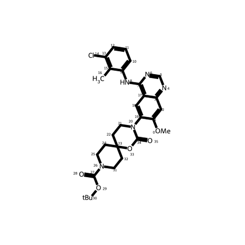 COc1cc2ncnc(Nc3cccc(Cl)c3C)c2cc1N1CCC2(CCN(C(=O)OC(C)(C)C)CC2)OC1=O